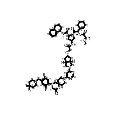 CN[C@@H](C)C(=O)N[C@H](C(=O)N1CC(NC(=O)CO[C@@H]2C[C@@H]3CN(c4cc(N5CCC6(CC5)CN(c5cc(F)c(CN7CCC(C)(C)CC7)cc5F)CC(=O)N6)ncn4)C[C@@H]3C2)C[C@H]1C(=O)N[C@H]1CCCc2ccccc21)C1CCCCC1